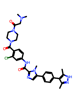 Cc1n[nH]c(C)c1-c1ccc(-c2cnc(C(=O)Nc3ccc(C(=O)N4CCN(C(=O)CN(C)C)CC4)c(Cl)c3)n2C)cc1